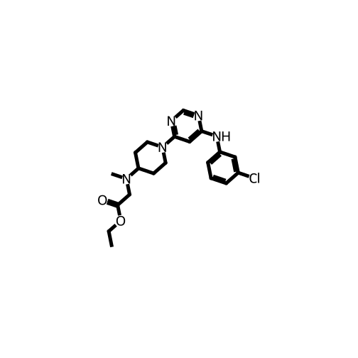 CCOC(=O)CN(C)C1CCN(c2cc(Nc3cccc(Cl)c3)ncn2)CC1